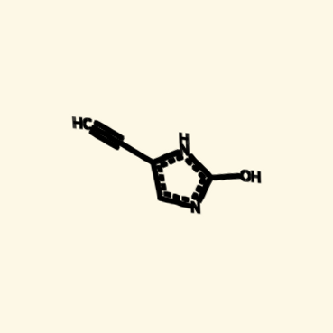 C#Cc1cnc(O)[nH]1